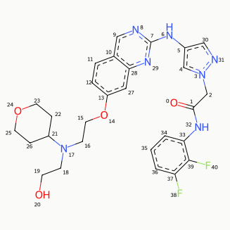 O=C(Cn1cc(Nc2ncc3ccc(OCCN(CCO)C4CCOCC4)cc3n2)cn1)Nc1cccc(F)c1F